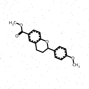 COC(=O)c1ccc2c(c1)CCC(c1ccc(OC)cc1)O2